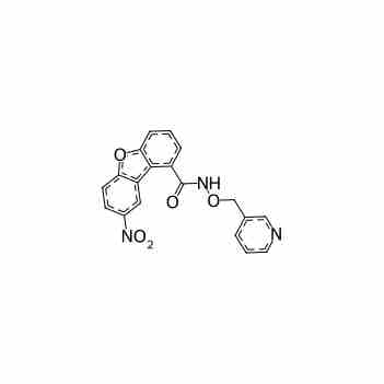 O=C(NOCc1cccnc1)c1cccc2oc3ccc([N+](=O)[O-])cc3c12